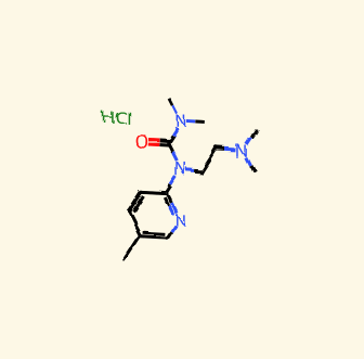 Cc1ccc(N(CCN(C)C)C(=O)N(C)C)nc1.Cl